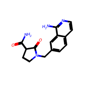 NC(=O)C1CCN(Cc2ccc3ccnc(N)c3c2)C1=O